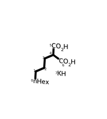 CCCCCCCCCC(C(=O)O)C(=O)O.[KH]